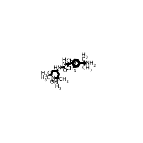 CC(C)(N)c1ccc(C(C)(C)NC(=O)NC2CC(C)(C)N(O)C(C)(C)C2)cc1